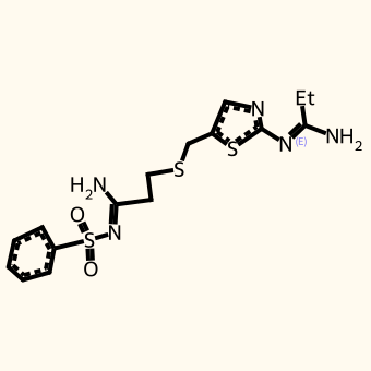 CC/C(N)=N\c1ncc(CSCCC(N)=NS(=O)(=O)c2ccccc2)s1